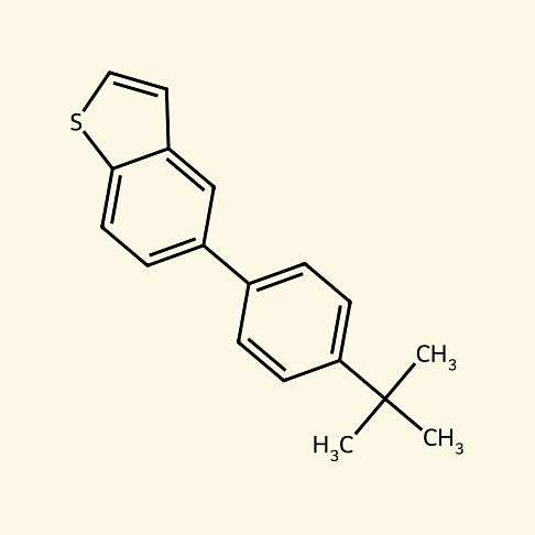 CC(C)(C)c1ccc(-c2ccc3sccc3c2)cc1